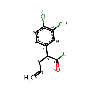 C=CCC(C(=O)Cl)c1ccc(Cl)c(Cl)c1